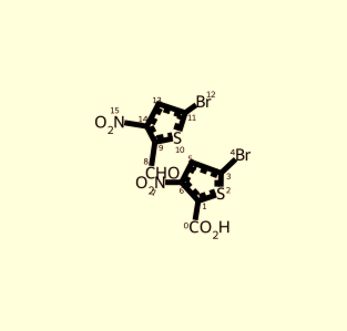 O=C(O)c1sc(Br)cc1[N+](=O)[O-].O=Cc1sc(Br)cc1[N+](=O)[O-]